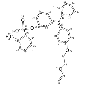 C=COCCOc1ccc([S+](c2ccccc2)c2ccccc2)cc1.O=S(=O)([O-])c1ccccc1C(F)(F)F